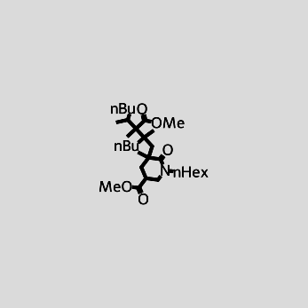 CCCCCCN1CC(C(=O)OC)CC(C)(CC(C)(CCCC)C(C)(C(=O)OC)C(C)CCCC)C1=O